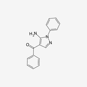 Nc1c(C(=O)c2ccccc2)cnn1-c1ccccc1